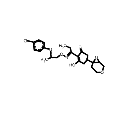 CCC(=NOCC(C)Oc1ccc(Cl)cc1)C1=C(O)CC(C23CCOCC2O3)CC1=O